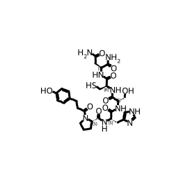 NC(=O)C[C@H](NC(=O)[C@H](CS)NC(=O)[C@H](CO)NC(=O)[C@H](Cc1c[nH]cn1)NC(=O)[C@@H]1CCCN1C(=O)CCc1ccc(O)cc1)C(N)=O